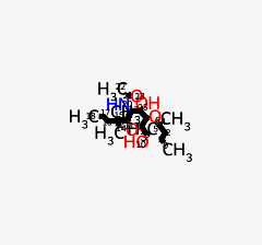 CCCC(C)(C)OC1C(CO)OC(C(C)(C)CCC)C(NC(C)=O)C1O